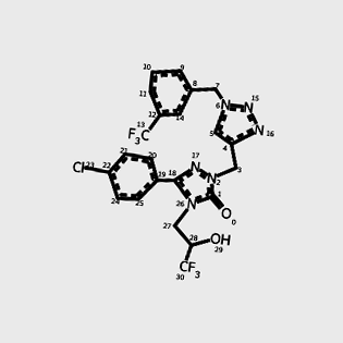 O=c1n(Cc2cn(Cc3cccc(C(F)(F)F)c3)nn2)nc(-c2ccc(Cl)cc2)n1CC(O)C(F)(F)F